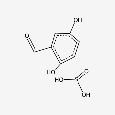 O=Cc1cc(O)ccc1O.O=S(O)O